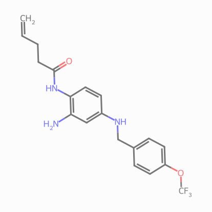 C=CCCC(=O)Nc1ccc(NCc2ccc(OC(F)(F)F)cc2)cc1N